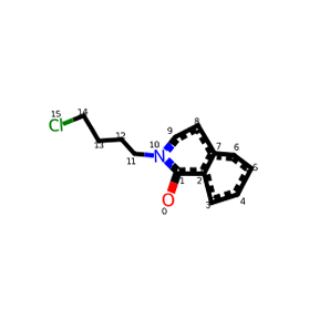 O=c1c2ccccc2ccn1CCCCCl